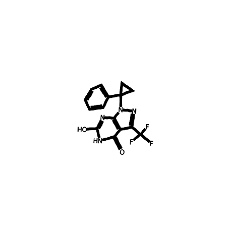 O=c1[nH]c(O)nc2c1c(C(F)(F)F)nn2C1(c2ccccc2)CC1